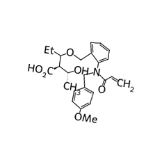 C=CC(=O)N(Cc1ccc(OC)cc1)c1ccccc1COC(CC)[C@H](C(=O)O)[C@@H](C)O